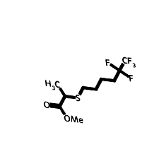 COC(=O)C(C)SCCCCC(F)(F)C(F)(F)F